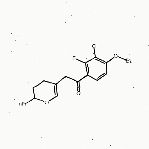 CCCC1CCC(CC(=O)c2ccc(OCC)c(Cl)c2F)=CO1